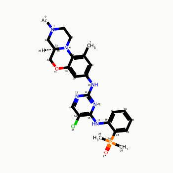 CC(=O)N1CCN2c3c(C)cc(Nc4ncc(Cl)c(Nc5ccccc5P(C)(C)=O)n4)cc3OC[C@H]2C1